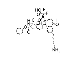 NCCCCCc1ccc2c(c1)C(=O)NCC(=O)N2c1ccc(C[C@@]2(C(=O)Oc3ccccc3)NC2(C=O)CC=O)cc1.O=C(O)C(F)(F)F